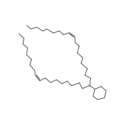 CCCCCCCC/C=C\CCCCCCCCN(CCCCCCCC/C=C\CCCCCCCC)C1CCCCC1